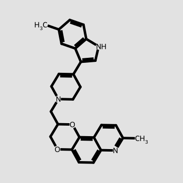 Cc1ccc2[nH]cc(C3=CCN(CC4COc5ccc6nc(C)ccc6c5O4)CC3)c2c1